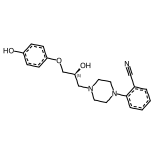 N#Cc1ccccc1N1CCN(C[C@H](O)COc2ccc(O)cc2)CC1